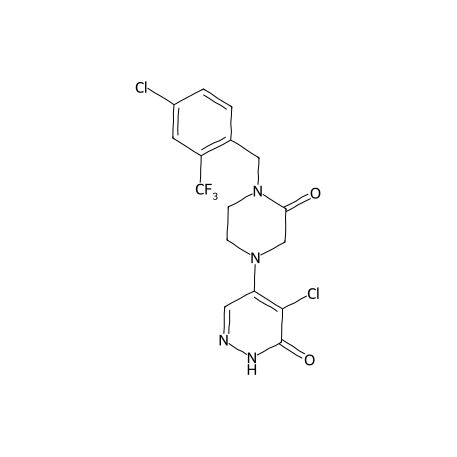 O=C1CN(c2cn[nH]c(=O)c2Cl)CCN1Cc1ccc(Cl)cc1C(F)(F)F